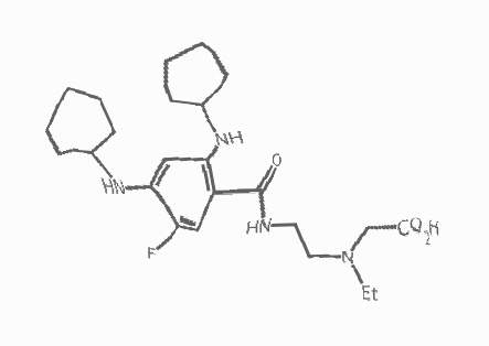 CCN(CCNC(=O)c1cc(F)c(NC2CCCCC2)cc1NC1CCCC1)CC(=O)O